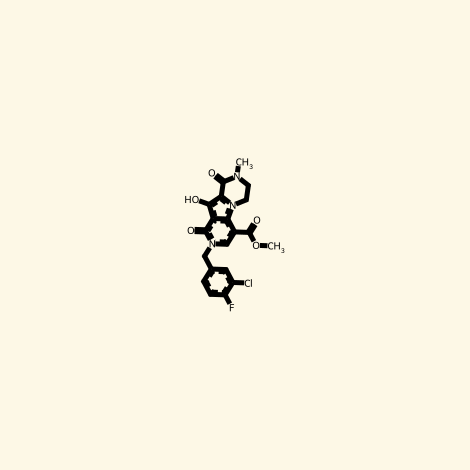 COC(=O)c1cn(Cc2ccc(F)c(Cl)c2)c(=O)c2c(O)c3n(c12)CCN(C)C3=O